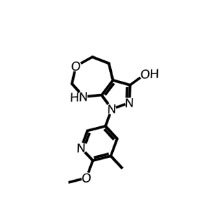 COc1ncc(-n2nc(O)c3c2NCOCC3)cc1C